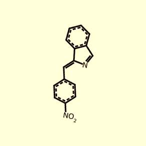 O=[N+]([O-])c1ccc(C=C2N=Cc3ccccc32)cc1